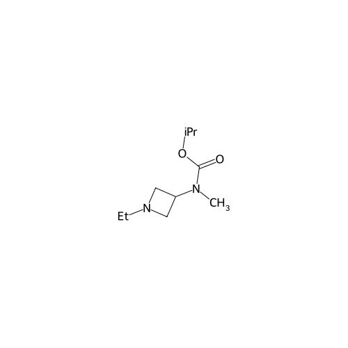 CCN1CC(N(C)C(=O)OC(C)C)C1